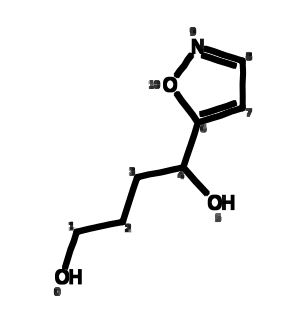 OCCCC(O)c1ccno1